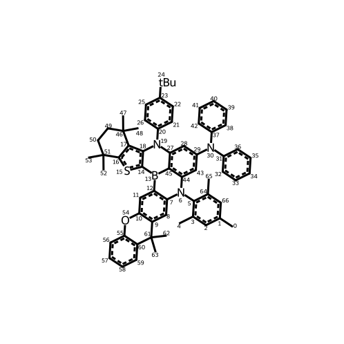 Cc1cc(C)c(N2c3cc4c(cc3B3c5sc6c(c5N(c5ccc(C(C)(C)C)cc5)c5cc(N(c7ccccc7)c7ccccc7)cc2c53)C(C)(C)CCC6(C)C)Oc2ccccc2C4(C)C)c(C)c1